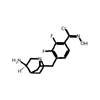 N[C@H]1CN2CCC1CC2Cc1ccc(/C(Cl)=N\O)c(F)c1F